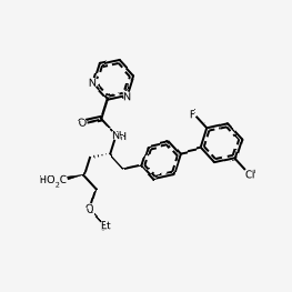 CCOC[C@H](C[C@@H](Cc1ccc(-c2cc(Cl)ccc2F)cc1)NC(=O)c1ncccn1)C(=O)O